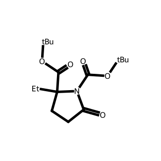 CCC1(C(=O)OC(C)(C)C)CCC(=O)N1C(=O)OC(C)(C)C